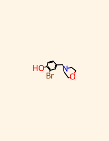 Oc1ccc(CN2CCOCC2)cc1Br